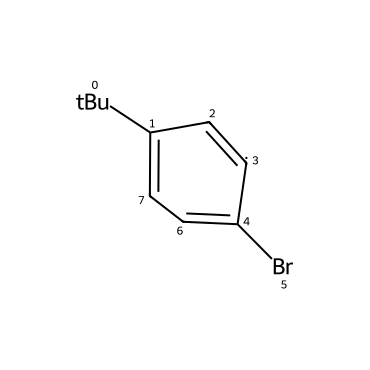 CC(C)(C)c1c[c]c(Br)cc1